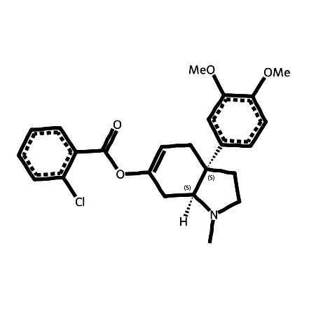 COc1ccc([C@@]23CC=C(OC(=O)c4ccccc4Cl)C[C@@H]2N(C)CC3)cc1OC